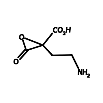 NCCC1(C(=O)O)OC1=O